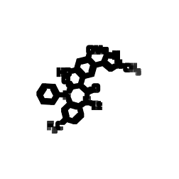 CCN1C(=O)C(c2cc(-c3cnn(C)c3)c(OC)cc2O)C(=O)N(c2ccccc2)c2cc(C(F)(F)F)ccc21